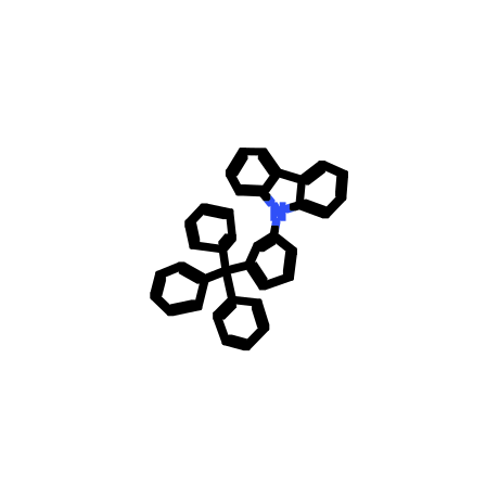 c1ccc(C(c2ccccc2)(c2ccccc2)c2cccc(-n3c4ccccc4c4ccccc43)c2)cc1